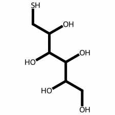 OCC(O)C(O)C(O)C(O)CS